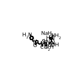 Nc1ccc(CN2CC/C(=C\C3=C(C(=O)O)N4C(=O)[C@@H](NC(=O)/C(=N\O)c5csc(N)n5)[C@H]4SC3)C2=O)cc1.[NaH]